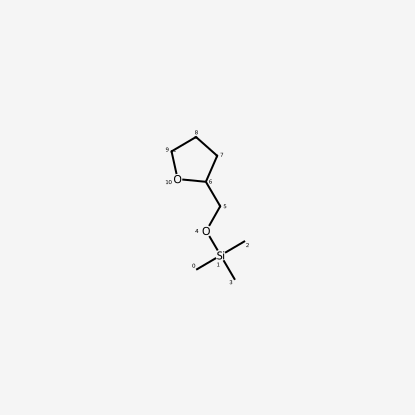 C[Si](C)(C)OCC1CC[CH]O1